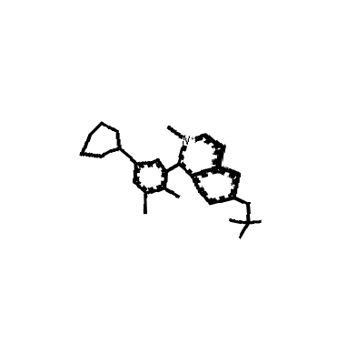 Cc1cc(C2CCCCC2)cc(-c2c3ccc(CC(C)(C)C)cc3cc[n+]2C)c1C